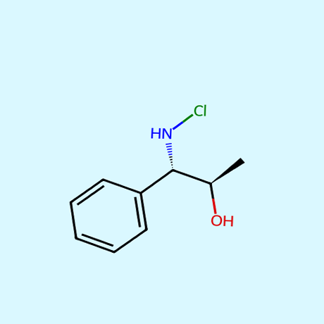 C[C@@H](O)[C@@H](NCl)c1ccccc1